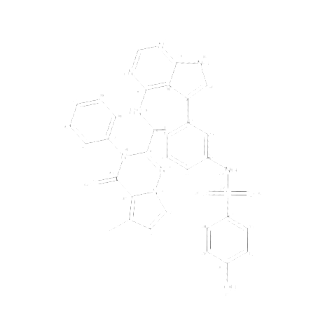 Cc1ccn2nc(C(C)Nc3ncnc4[nH]cc(-c5cccc(NS(=O)(=O)c6ccc(O)cc6)c5)c34)n(-c3ccccc3)c(=O)c12